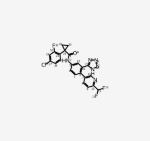 O=C(Nc1ccc(-c2ccc(C(F)F)nc2)c(-c2nnn[nH]2)c1)C1(c2ccc(Cl)cc2F)CC1